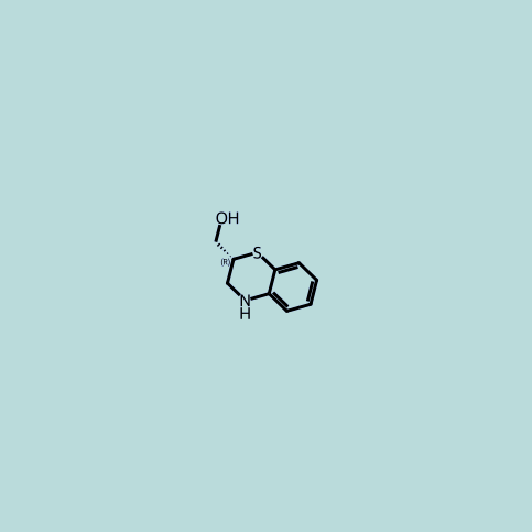 OC[C@H]1CNc2ccccc2S1